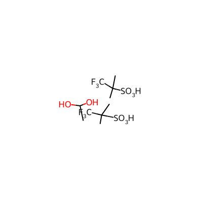 CC(C)(C(F)(F)F)S(=O)(=O)O.CC(C)(C(F)(F)F)S(=O)(=O)O.CC(O)O